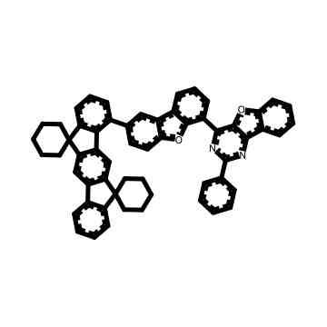 c1ccc(-c2nc(-c3cccc4c3oc3ccc(-c5cccc6c5-c5cc7c(cc5C65CCCCC5)-c5ccccc5C75CCCCC5)cc34)c3oc4ccccc4c3n2)cc1